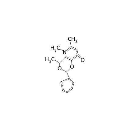 Cc1cc(=O)c2c(n1C)C(C)OC(c1ccccc1)O2